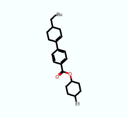 CCC(C)CC1CC=C(c2ccc(C(=O)OC3CCC(CC)CC3)cc2)CC1